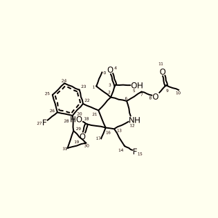 CCC1(C(=O)O)C(COC(C)=O)NC(CF)C(C)(C(=O)O)C1c1cccc(F)c1C1CC1